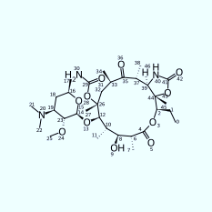 CC[C@H]1OC(=O)[C@H](C)[C@@H](O)[C@H](C)[C@@H](O[C@@H]2O[C@H](C)C[C@H](N(C)C)[C@H]2OC)[C@](C)(OC(N)=O)C[C@@H](C)C(=O)[C@H](C)[C@H]2NC(=O)O[C@@]21C